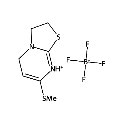 CSC1=CCN2CCSC2=[NH+]1.F[B-](F)(F)F